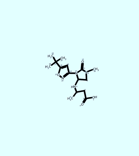 CC(CC(=O)O)NC1CN(C)C(=O)N1c1cc(C(C)(C)C)on1